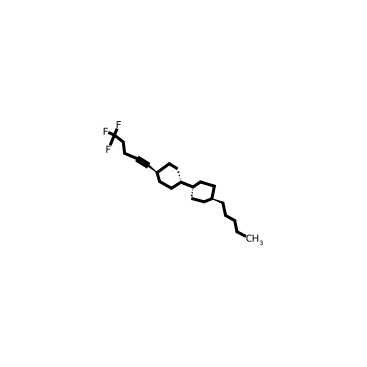 CCCCC[C@H]1CC[C@H]([C@H]2CC[C@H](C#CCCC(F)(F)F)CC2)CC1